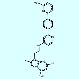 COc1ccnc(-c2ccc(-c3cc(NCCn4c(C)cc5c(OC)cc(F)cc54)ncn3)cc2)n1